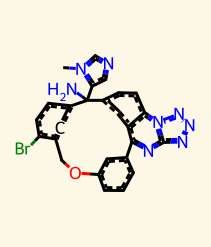 Cn1cncc1C1(N)c2ccc(Br)c(c2)COc2cccc(c2)-c2nc3nnnn3c3ccc1cc23